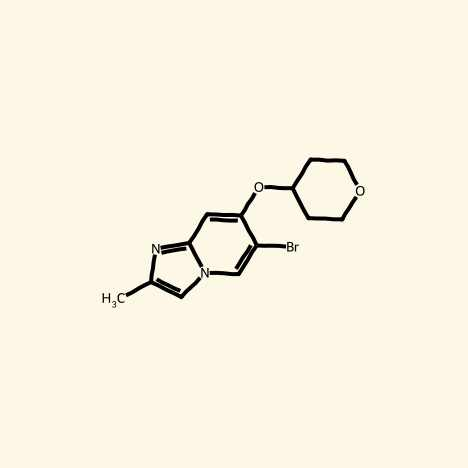 Cc1cn2cc(Br)c(OC3CCOCC3)cc2n1